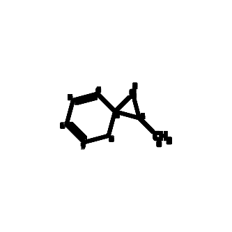 CC1SC12C=CC=CC2